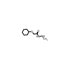 CNNC(=O)COC1CCCCC1